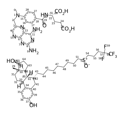 CN(Cc1cnc2nc(N)nc(N)c2n1)c1ccc(C(=O)N[C@@H](CCC(=O)O)C(=O)O)cc1.C[C@]12CC[C@@H]3c4ccc(O)cc4C[C@@H](CCCCCCCCC[S+]([O-])CCCC(F)(F)C(F)(F)F)[C@H]3[C@@H]1CC[C@@H]2O